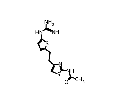 CC(=O)Nc1nc(CCc2ccc(NC(=N)N)s2)cs1